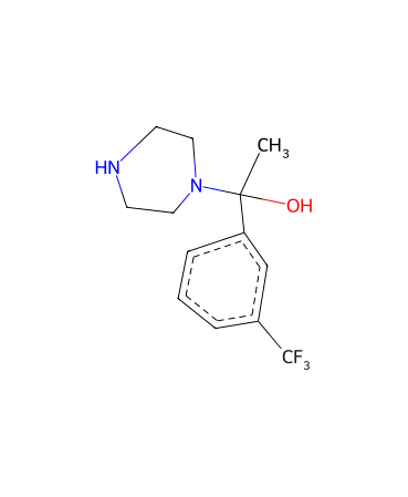 CC(O)(c1cccc(C(F)(F)F)c1)N1CCNCC1